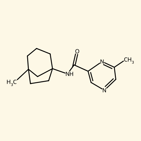 Cc1cncc(C(=O)NC23CCCC(C)(CC2)C3)n1